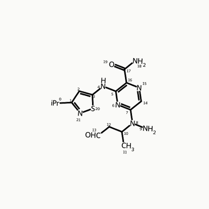 CC(C)c1cc(Nc2nc(N(N)C(C)CC=O)cnc2C(N)=O)sn1